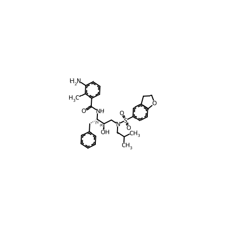 Cc1c(N)cccc1C(=O)N[C@@H](Cc1ccccc1)[C@H](O)CN(CC(C)C)S(=O)(=O)c1ccc2c(c1)CCO2